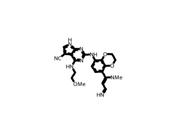 CN/C(=C\C=N)c1ccc(Nc2nc(NCCOC)c3c(C#N)c[nH]c3n2)c2c1OCCO2